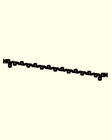 O=C(O)COCCOCCOCCOCCOCCOCCOCCOCCOCCOCCOCCOCCOCC(=O)O